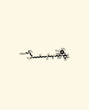 CCCCCCCCCCCCN(C)CCCN(C)CCCCCC(=O)CCCCNC(=O)CCC(=O)OCC(O)C(O)C(O)Cn1c2nc(=O)[nH]c(=O)c-2nc2cc(C)c(C)cc21